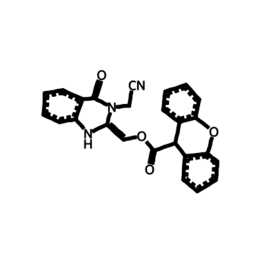 N#CCN1C(=O)c2ccccc2N/C1=C/OC(=O)C1c2ccccc2Oc2ccccc21